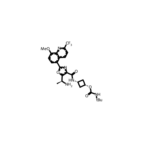 COc1ccc(-c2nc(C(=O)N[C@H]3C[C@@H](OC(=O)NC(C)(C)C)C3)c([C@H](C)N)o2)c2ccc(C(F)(F)F)nc12